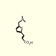 CN(C)Cc1ccc(C=CC(=O)O)s1